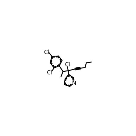 CCCC#CC(Cl)(c1cccnc1)C(C)c1ccc(Cl)cc1Cl